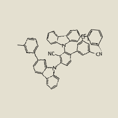 Cc1cccc(-c2ccc3c4ccccc4n(-c4ccc(-c5cc(C#N)cc(C(F)(F)F)c5)c(-n5c6ccccc6c6ccc(-c7cccc(C)c7)cc65)c4C#N)c3c2)c1